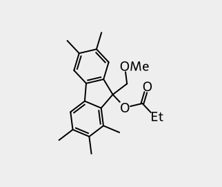 CCC(=O)OC1(COC)c2cc(C)c(C)cc2-c2cc(C)c(C)c(C)c21